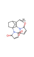 C=CC1=C(N2C(=O)C=CC2=O)C2(N3C(=O)C=CC3=O)CCC1C2